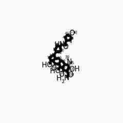 COc1ccc(C(=O)Nc2ccc(-c3ccc(O)c4c3CC3CC5C(C(=O)C(C(N)=O)=C(O)C5N(C)C)C(O)=C3C4=O)cc2)cc1